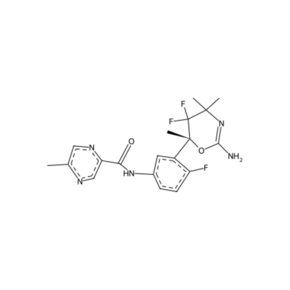 Cc1cnc(C(=O)Nc2ccc(F)c([C@@]3(C)OC(N)=NC(C)(C)C3(F)F)c2)cn1